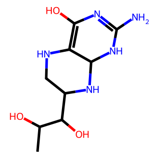 CC(O)C(O)C1CNC2=C(O)N=C(N)NC2N1